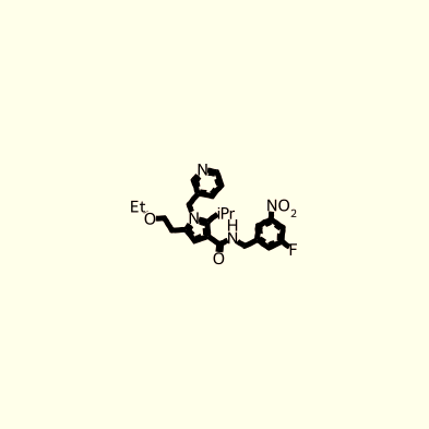 CCOCCc1cc(C(=O)NCc2cc(F)cc([N+](=O)[O-])c2)c(C(C)C)n1Cc1cccnc1